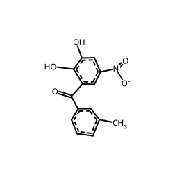 Cc1cccc(C(=O)c2cc([N+](=O)[O-])cc(O)c2O)c1